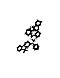 CC1(C)c2ccccc2-c2ccc(N(c3ccccc3)C3Nc4ccccc4C(c4cccc5oc6c7ccccc7ccc6c45)N3)cc21